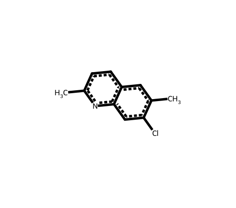 Cc1ccc2cc(C)c(Cl)cc2n1